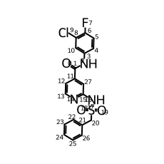 O=C(Nc1ccc(F)c(Cl)c1)c1ccnc(NS(=O)(=O)Cc2ccccc2)c1